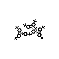 CC(C)(C)c1ccc2c(c1)c1cc(C(C)(C)C)ccc1n2-c1ccc(C(C)(C)Cc2cc(-n3c4ccc(C(C)(C)C)cc4c4cc(C(C)(C)C)ccc43)c(C(C)(C)C)c(-n3c4ccc(C(C)(C)C)cc4c4cc(C(C)(C)C)ccc43)c2)cc1